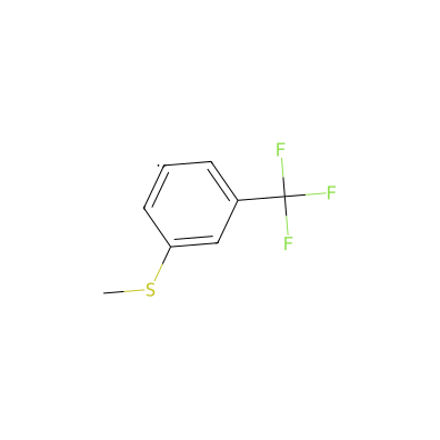 CSc1c[c]cc(C(F)(F)F)c1